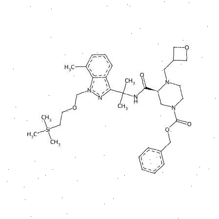 Cc1cccc2c(C(C)(C)NC(=O)[C@@H]3CN(C(=O)OCc4ccccc4)CCN3CC3COC3)nn(COCC[Si](C)(C)C)c12